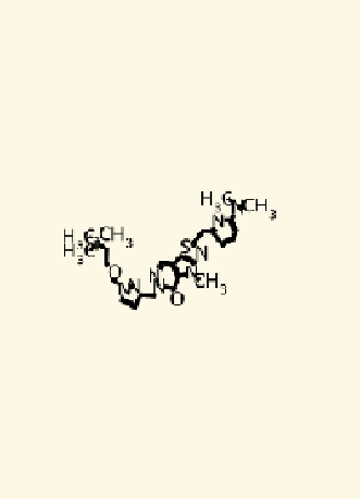 CN(C)c1cccc(Cc2nc3c(s2)c2cnn(Cc4ccn(COCC[Si](C)(C)C)n4)c(=O)c2n3C)n1